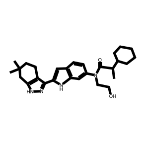 CC(C(=O)N(CCO)c1ccc2cc(-c3n[nH]c4c3CCC(C)(C)C4)[nH]c2c1)C1CCCCC1